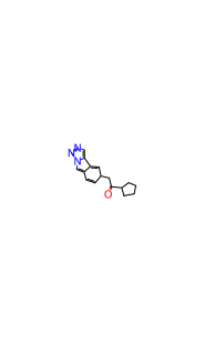 O=C(CC1C=Cc2cn3nncc3c2=C1)C1CCCC1